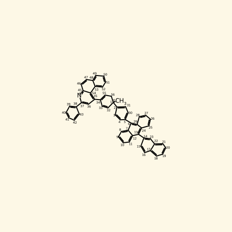 CC1(c2ccc(-c3c4ccccc4c(-c4ccc5ccccc5c4)c4ccccc34)cc2)C=CC(c2cc(-c3ccccc3)nc3ccc4ccccc4c23)=CC1